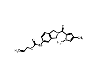 C=CCOC(=O)Nc1ccc2c(c1)CN(C(=O)c1cc(C)cn1C)C2